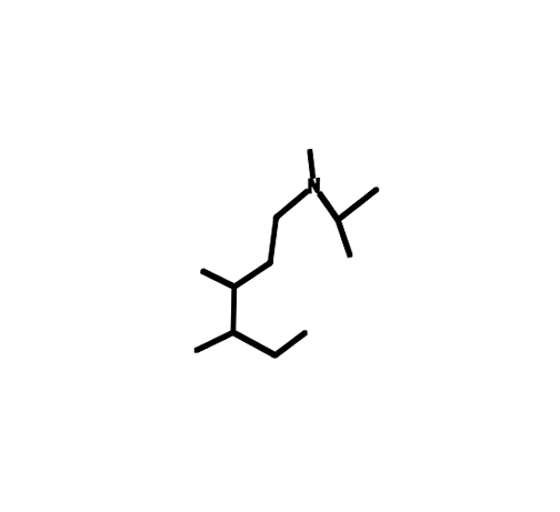 CCC(C)C(C)CCN(C)C(C)C